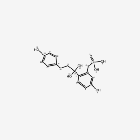 O=P(O)(O)Sc1cc(O)ccc1C(O)(O)CCc1ccc(O)cc1